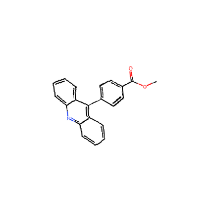 COC(=O)c1ccc(-c2c3ccccc3nc3ccccc23)cc1